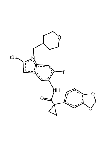 CC(C)(C)c1cc2cc(NC(=O)C3(c4ccc5c(c4)OCO5)CC3)c(F)cc2n1CC1CCOCC1